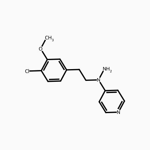 COc1cc(CCN(N)c2ccncc2)ccc1Cl